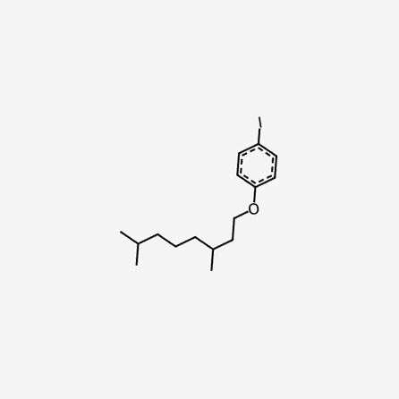 CC(C)CCCC(C)CCOc1ccc(I)cc1